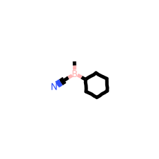 CB(C#N)C1CCCCC1